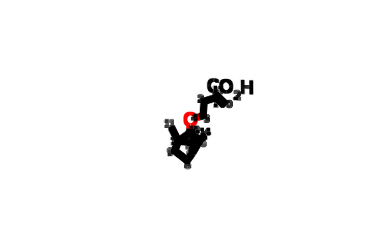 C=C(CCOC1CC2CCC1(C)C2(C)C)C(=O)O